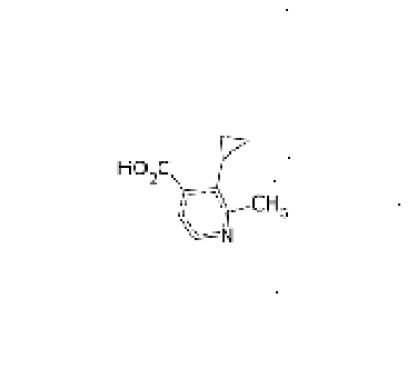 Cc1nccc(C(=O)O)c1C1CC1